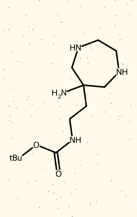 CC(C)(C)OC(=O)NCCC1(N)CNCCNC1